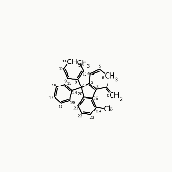 C=CC1=C(/C=C\C)C(C(/C=C\C)=C/C)(c2ccccc2)c2cccc(Cl)c21